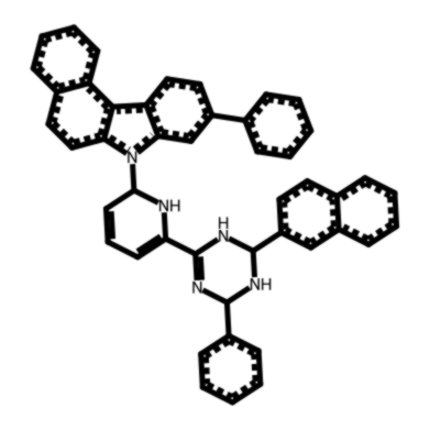 C1=CC(n2c3cc(-c4ccccc4)ccc3c3c4ccccc4ccc32)NC(C2=NC(c3ccccc3)NC(c3ccc4ccccc4c3)N2)=C1